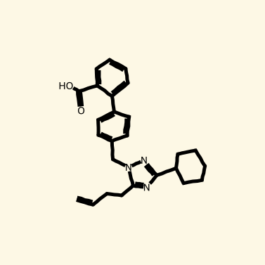 C=CCCc1nc(C2CCCCC2)nn1Cc1ccc(-c2ccccc2C(=O)O)cc1